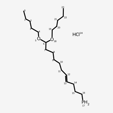 CCCCCOC(CCCCC/C=C/CCCP)OCCCCC.Cl